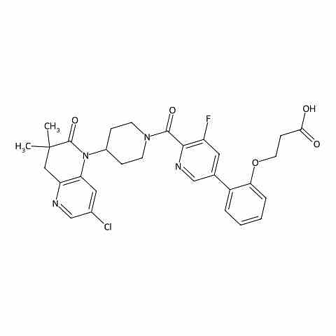 CC1(C)Cc2ncc(Cl)cc2N(C2CCN(C(=O)c3ncc(-c4ccccc4OCCC(=O)O)cc3F)CC2)C1=O